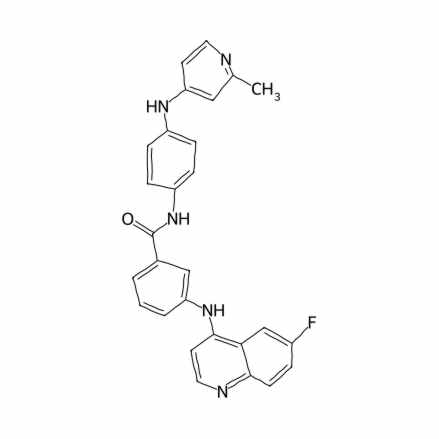 Cc1cc(Nc2ccc(NC(=O)c3cccc(Nc4ccnc5ccc(F)cc45)c3)cc2)ccn1